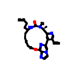 CCN1C(=O)NC(CCOC)CCCCCOc2nc(cn3ccnc23)-c2cc(ncc2OC)[C@H]1C